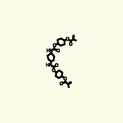 C=C(C)C(=O)OC1CCC(OC(=O)NC2CCC(NC(=O)OC3CCC(OC(=O)C(=C)C)CC3)CC2)CC1